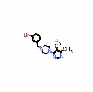 Cc1ncnc(N2CCN(Cc3cccc(Br)c3)CC2)c1C